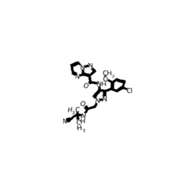 COc1ccc(Cl)cc1-c1nn(CC(=O)NC(C)(C)C#N)cc1NC(=O)c1cnn2cccnc12